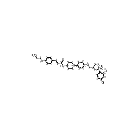 C=CCOc1ccc(/C=C/C(=O)NN2CCN(c3ccc(OC[C@@H]4CO[C@](C)(c5ccc(Cl)cc5Cl)O4)cc3)CC2)cc1